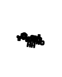 C=C(C)c1cccc(C(C)(C)NC(=O)Nc2nc(=O)cc(C)[nH]2)c1